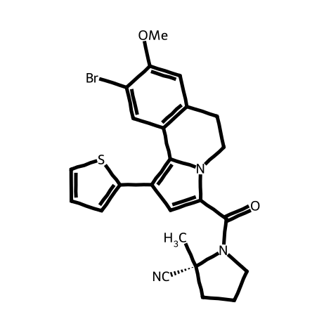 COc1cc2c(cc1Br)-c1c(-c3cccs3)cc(C(=O)N3CCC[C@]3(C)C#N)n1CC2